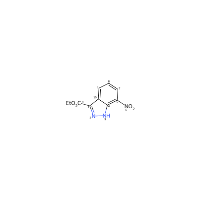 CCOC(=O)c1n[nH]c2c([N+](=O)[O-])cccc12